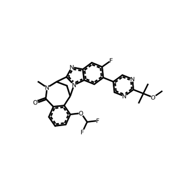 COC(C)(C)c1ncc(-c2cc3c(cc2F)nc2n3C3CC2N(C)C(=O)c2cccc(OC(F)F)c23)cn1